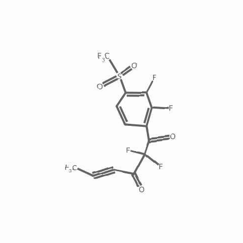 O=C(C#CC(F)(F)F)C(F)(F)C(=O)c1ccc(S(=O)(=O)C(F)(F)F)c(F)c1F